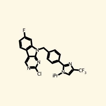 CC(C)n1cc(C(F)(F)F)nc1-c1ccc(Cn2c3cc(F)ccc3c3cnc(Cl)nc32)cc1